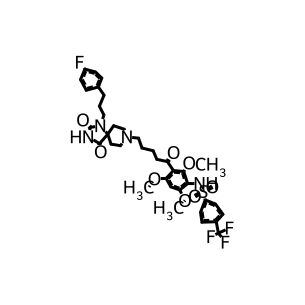 COc1cc(OC)c(C(=O)CCCCN2CCC3(CC2)C(=O)NC(=O)N3CCCc2ccc(F)cc2)c(OC)c1NS(=O)(=O)c1ccc(C(F)(F)F)cc1